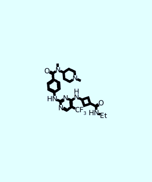 CCNC(=O)C1CC(Nc2nc(Nc3ccc(C(=O)N(C)C4CCN(C)CC4)cc3)ncc2C(F)(F)F)C1